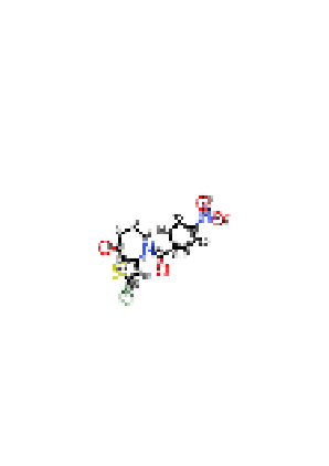 O=C1CCCN(C(=O)c2ccc([N+](=O)[O-])cc2)c2cc(Cl)sc21